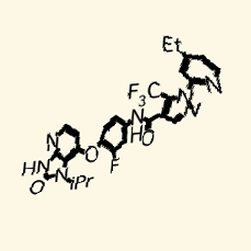 CCc1ccnc(-n2ncc(C(=O)Nc3ccc(Oc4ccnc5[nH]c(=O)n(C(C)C)c45)c(F)c3)c2C(F)(F)F)c1